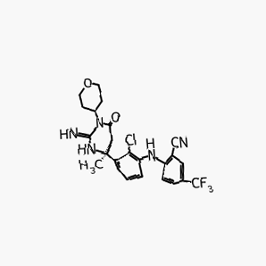 C[C@@]1(c2cccc(Nc3ccc(C(F)(F)F)cc3C#N)c2Cl)CC(=O)N(C2CCOCC2)C(=N)N1